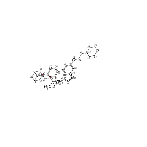 CC(C)OCCN1C2CC1CN(c1ccc(-c3cc(OCCN4CCOCC4)cn4ncc(C#N)c34)cn1)C2